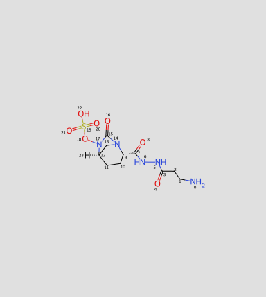 NCCC(=O)NNC(=O)[C@@H]1CC[C@@H]2CN1C(=O)N2OS(=O)(=O)O